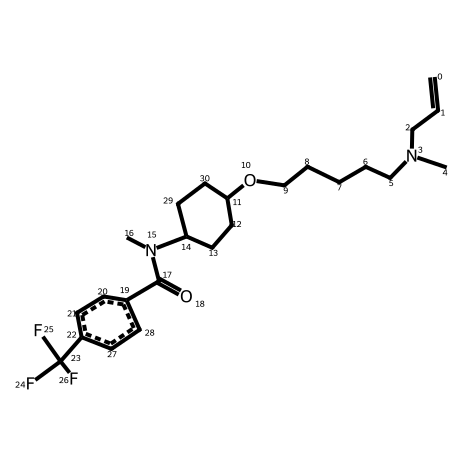 C=CCN(C)CCCCCOC1CCC(N(C)C(=O)c2ccc(C(F)(F)F)cc2)CC1